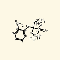 CCC(CC)(Sc1ccccc1N)P(=O)(O)O